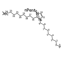 CCCCCCCCCCCCCCCCCCCN1C=CN(CCCCC)C1CCCCCCCCCCCCCCCCCC